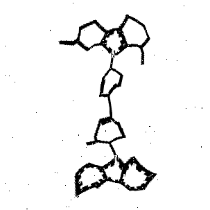 C=C1CCc2c3c(n(C4C=CC(C5=CC(C)C(n6c7ccccc7c7ccccc76)CC5)=CC4)c2C1)C(C)CCC3